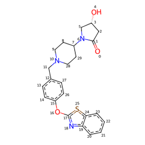 O=C1C[C@@H](O)CN1C1CCN(Cc2ccc(Oc3nc4ccccc4s3)cc2)CC1